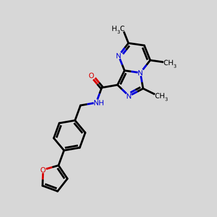 Cc1cc(C)n2c(C)nc(C(=O)NCc3ccc(-c4ccco4)cc3)c2n1